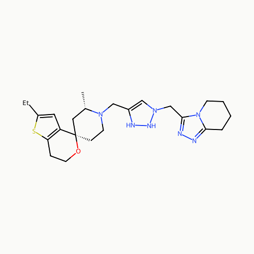 CCc1cc2c(s1)CCO[C@@]21CCN(CC2=CN(Cc3nnc4n3CCCC4)NN2)[C@@H](C)C1